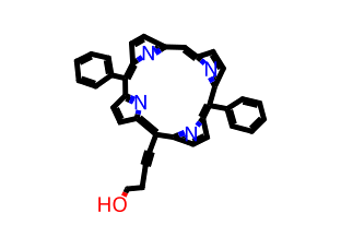 OCCC#CC1=C2C=CC(=N2)C(c2ccccc2)=C2C=CC(=N2)C=C2C=CC(=N2)C(c2ccccc2)=C2C=CC1=N2